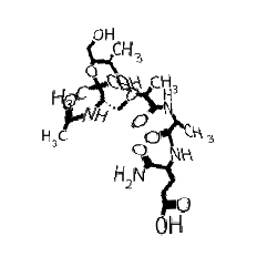 CC(=O)N[C@@H](COC(C)C(=O)NC(C)C(=O)NC(CCC(=O)O)C(N)=O)C(C)(C)OC(CO)[C@@H](C)O